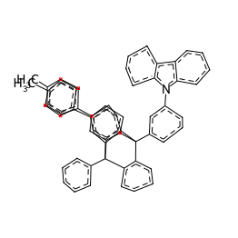 Cc1ccc(-c2ccc3c(c2)C2(c4ccccc4)c4ccccc4C3(c3cccc(-n4c5ccccc5c5ccccc54)c3)c3ccc(-c4ccc(C)cc4)cc32)cc1